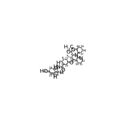 COC(=O)c1c(Cc2ccc(C(=O)NC3[C@@H]4C[C@H]5C[C@H]3C[C@](O)(C5)C4)cc2)c(=O)c2cccnc2n1-c1ccccc1